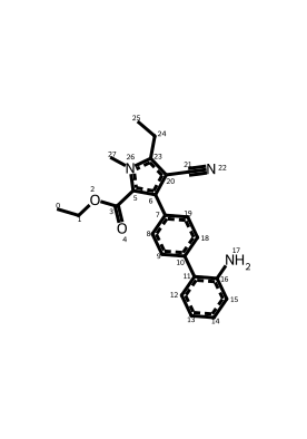 CCOC(=O)c1c(-c2ccc(-c3ccccc3N)cc2)c(C#N)c(CC)n1C